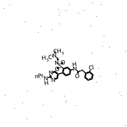 CCCNc1ncc(-c2ccc(NC(=O)Cc3ccccc3Cl)cc2S(=O)(=O)/N=C/N(C)C)cn1